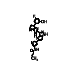 CCCC(=O)Nc1cncc(-c2ccc3[nH]nc(-c4nc5c(-c6cc(O)cc(F)c6)ccnc5[nH]4)c3n2)c1